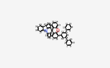 c1ccc(-c2cc(-c3ccccc3)cc(-c3cccc4c3Oc3ccccc3C43c4ccccc4-n4c5ccccc5c5cccc3c54)c2)cc1